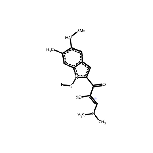 CSNc1cc2cc(C(=O)/C(C#N)=C/N(C)C)n(SI)c2cc1C